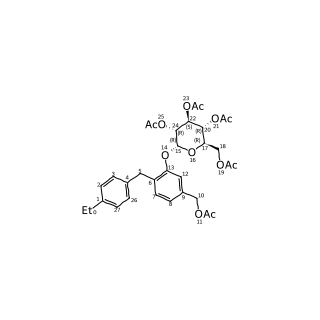 CCc1ccc(Cc2ccc(COC(C)=O)cc2O[C@H]2O[C@H](COC(C)=O)[C@@H](OC(C)=O)[C@H](OC(C)=O)[C@H]2OC(C)=O)cc1